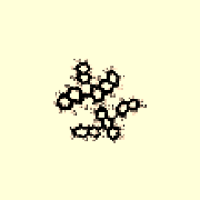 c1ccc2cc(-c3c4ccccc4c(-c4ccc5ccccc5c4)c4ccccc34)ccc2c1.c1ccc2cc(-c3ccc4cc5ccccc5cc4c3-c3ccc4ccccc4c3)ccc2c1